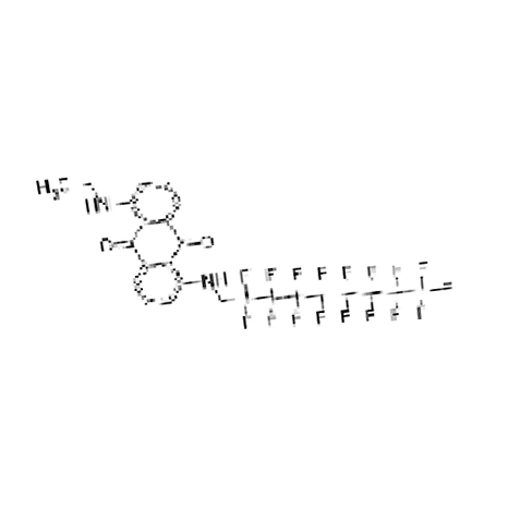 CCNc1cccc2c1C(=O)c1cccc(NCC(F)(F)C(F)(F)C(F)(F)C(F)(F)C(F)(F)C(F)(F)C(F)(F)C(F)(F)F)c1C2=O